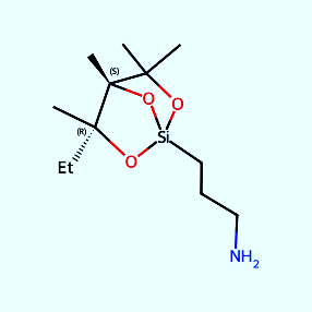 CC[C@@]1(C)O[Si]2(CCCN)OC(C)(C)[C@]1(C)O2